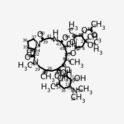 CO[C@]1(C)C[C@H](O[C@H]2[C@H](C)[C@@H](O[C@@H]3O[C@H](C)C[C@H](N(C)C)[C@H]3O)[C@](C)(O)C[C@@H](C)CN(C)C(=O)[C@@H]3CCCN3C(=O)CNC(=O)[C@@H]2C)O[C@@H](C)[C@@H]1OC(C)=O